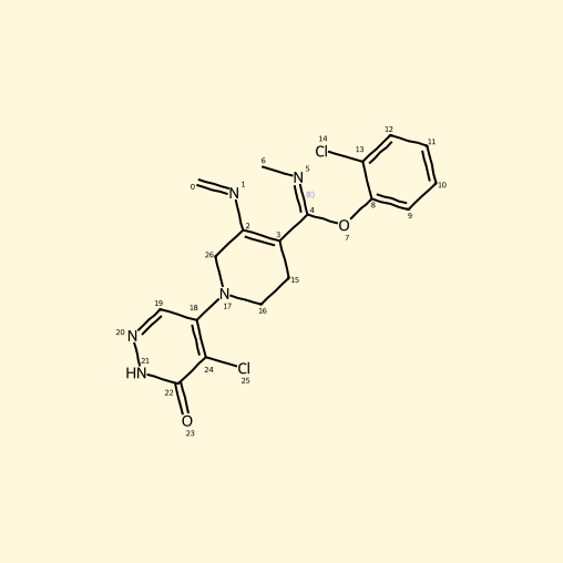 C=NC1=C(/C(=N\C)Oc2ccccc2Cl)CCN(c2cn[nH]c(=O)c2Cl)C1